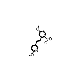 COc1ccc([N+](=O)[O-])c(C=Cc2ccc(OC)nc2)c1